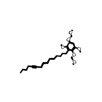 CCCCC#CCCCCCCCCCc1c(OC)c(OCOC)cc(OC)c1OCOC